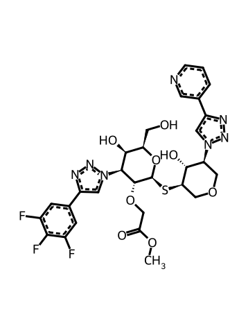 COC(=O)CO[C@@H]1[C@@H](n2cc(-c3cc(F)c(F)c(F)c3)nn2)[C@@H](O)[C@@H](CO)O[C@H]1S[C@@H]1COC[C@H](n2cc(-c3cccnc3)nn2)[C@H]1O